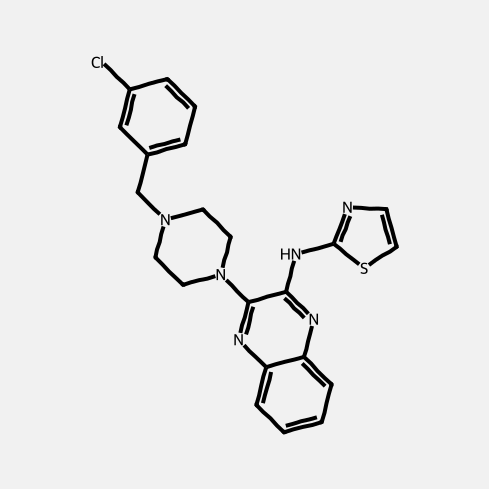 Clc1cccc(CN2CCN(c3nc4ccccc4nc3Nc3nccs3)CC2)c1